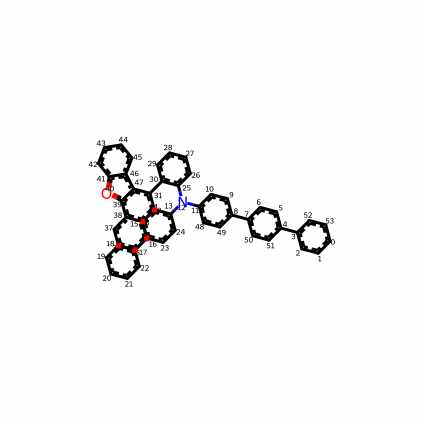 c1ccc(-c2ccc(-c3ccc(N(c4ccc(-c5ccccc5)cc4)c4ccccc4-c4cc5ccccc5c5oc6ccccc6c45)cc3)cc2)cc1